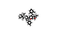 CC(=O)NC1(C(=O)N2CC[C@](c3ccc(C(OCc4c(F)cccc4F)(C(F)(F)F)C(F)(F)F)cc3)(S(=O)(=O)c3ccc(F)cc3)C2)CCOCC1